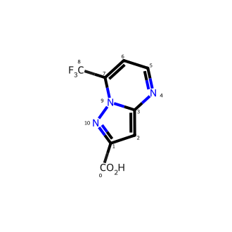 O=C(O)c1cc2nccc(C(F)(F)F)n2n1